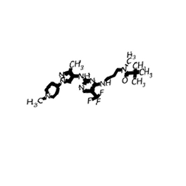 Cc1nn(C2CCN(C)CC2)cc1Nc1ncc(C(F)(F)F)c(NCCCN(C)C(=O)C(C)(C)C)n1